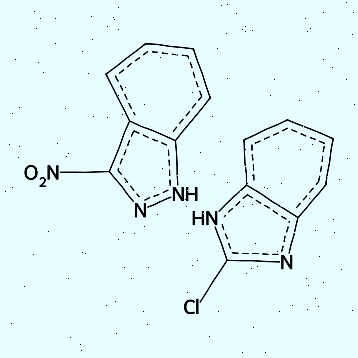 Clc1nc2ccccc2[nH]1.O=[N+]([O-])c1n[nH]c2ccccc12